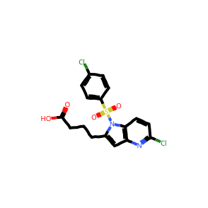 O=C(O)CCCc1cc2nc(Cl)ccc2n1S(=O)(=O)c1ccc(Cl)cc1